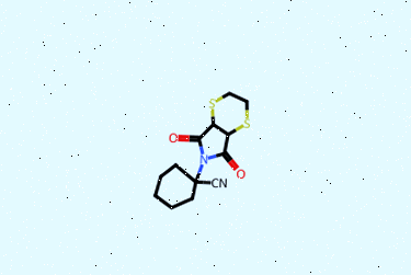 N#CC1(N2C(=O)C3SCCSC3C2=O)CCCCC1